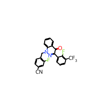 N#Cc1ccc(Cn2nc(-c3cccc(C(F)(F)F)c3F)c(=O)c3ccccc32)c(F)c1